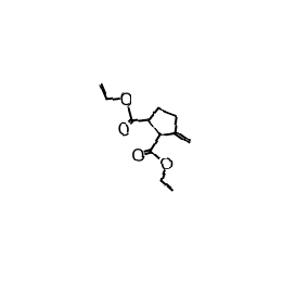 C=C1CCC(C(=O)OCC)C1C(=O)OCC